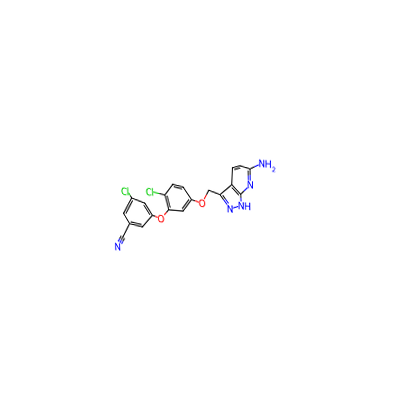 N#Cc1cc(Cl)cc(Oc2cc(OCc3n[nH]c4nc(N)ccc34)ccc2Cl)c1